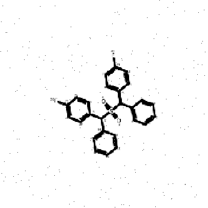 O=S(=O)(C(c1ccccc1)c1ccc(F)cc1)C(c1ccccc1)c1ccc(F)cc1